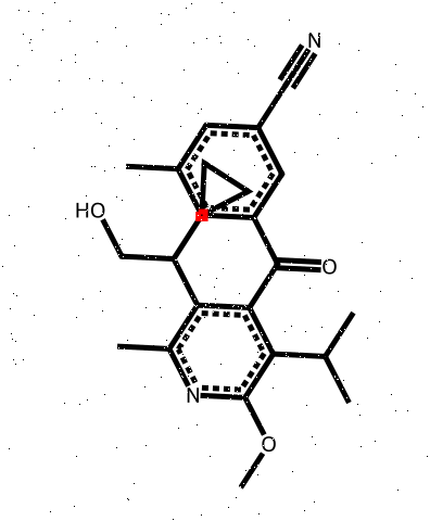 COc1nc(C)c(C(CO)C2CC2)c(C(=O)c2cc(C)cc(C#N)c2)c1C(C)C